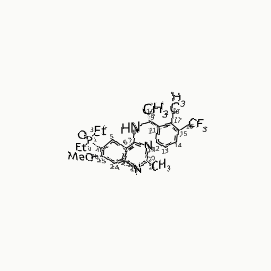 CCP(=O)(CC)c1cc2c(N[C@H](C)c3cccc(C(F)(F)F)c3C)nc(C)nc2cc1OC